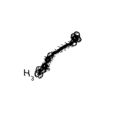 CC(=O)C(=O)Oc1ccc(-c2ccc(OCCCCCCCCCCCCOC3COC(=O)OC3)cc2)cc1F